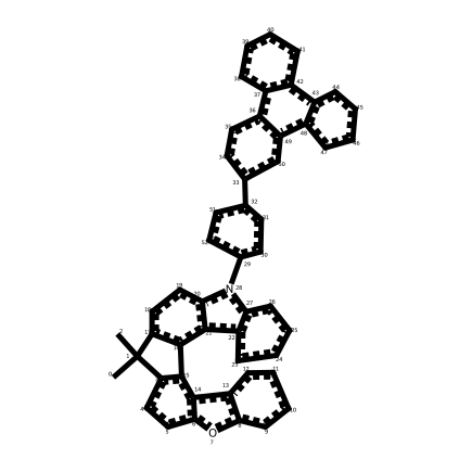 CC1(C)c2ccc3oc4ccccc4c3c2-c2c1ccc1c2c2ccccc2n1-c1ccc(-c2ccc3c4ccccc4c4ccccc4c3c2)cc1